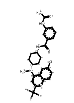 CC(=O)Nc1cccc(C(=O)N[C@H]2CC[C@@H](N(C)c3cc(C(F)(F)F)nc4ccc(Cl)cc34)CC2)c1